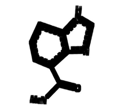 CNC(=O)c1cccc2[nH]cnc12